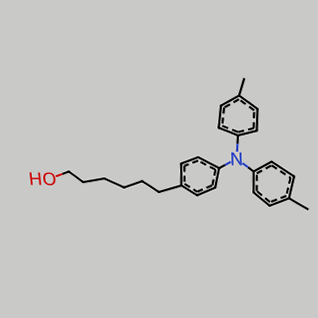 Cc1ccc(N(c2ccc(C)cc2)c2ccc(CCCCCCO)cc2)cc1